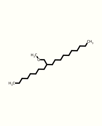 CCCCCCCCCCC(CCCCCCCC)COC